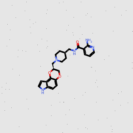 Nc1ncccc1C(=O)NCC1CCN(C[C@H]2COc3ccc4[nH]ccc4c3O2)CC1